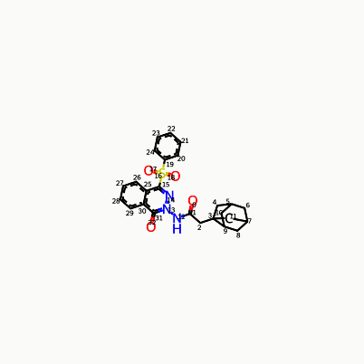 O=C(CC12CC3CC(CC1C3)C2)Nn1nc(S(=O)(=O)c2ccccc2)c2ccccc2c1=O